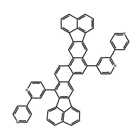 c1cc2c3c(cccc3c1)-c1cc3c(cc1-2)c(-c1ccnc(-c2ccncc2)c1)cc1c2cc4c(c(-c5ccnc(-c6ccncc6)c5)c2ccc31)-c1cccc2cccc-4c12